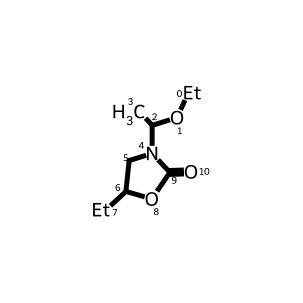 CCOC(C)N1CC(CC)OC1=O